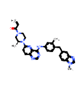 C=CC(=O)N1CCN(c2ccc3ncnc(Nc4ccc(Cc5ccc6c(c5)ncn6C)c(C)c4)c3n2)[C@@H](C)C1